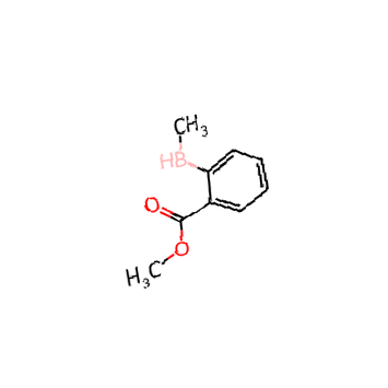 CBc1ccccc1C(=O)OC